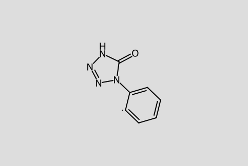 O=c1[nH]nnn1-c1[c]cccc1